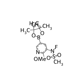 COc1ncc(B2OC(C)(C)C(C)(C)O2)cc1N(F)S(C)(=O)=O